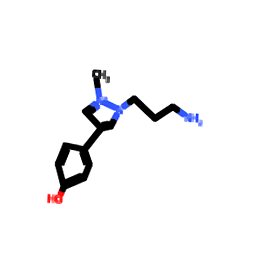 C[n+]1cc(-c2ccc(O)cc2)cn1CCCN